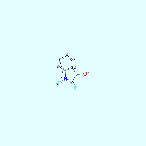 O=C1c2ccccc2N(F)C1F